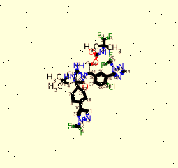 CC(C)(C)C[C@]1(C2C=CC(c3cnn(C(F)F)c3)=CC2)NC(=N)N([C@H](COC(=O)NC(C)(C)C(F)F)c2ccc(Cl)c(-c3ncnn3C(F)F)c2)C1=O